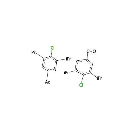 CC(=O)c1cc(C(C)C)c(Cl)c(C(C)C)c1.CC(C)c1cc(C=O)cc(C(C)C)c1Cl